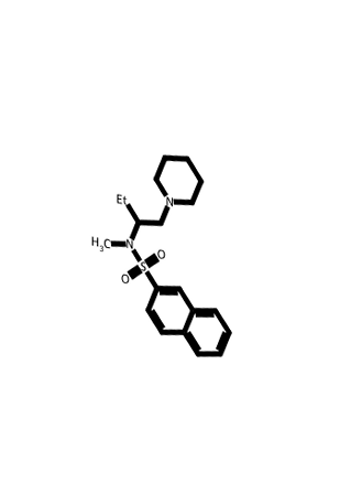 CCC(CN1CCCCC1)N(C)S(=O)(=O)c1ccc2ccccc2c1